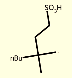 [CH2]C(C)(CCCC)CCS(=O)(=O)O